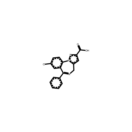 O=C(O)c1cc2n(n1)-c1ccc(Cl)cc1C(c1ccccc1)=NC2